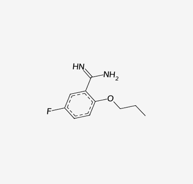 CCCOc1ccc(F)cc1C(=N)N